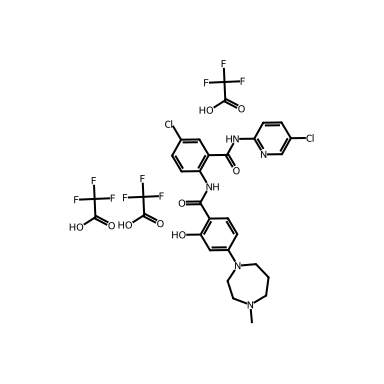 CN1CCCN(c2ccc(C(=O)Nc3ccc(Cl)cc3C(=O)Nc3ccc(Cl)cn3)c(O)c2)CC1.O=C(O)C(F)(F)F.O=C(O)C(F)(F)F.O=C(O)C(F)(F)F